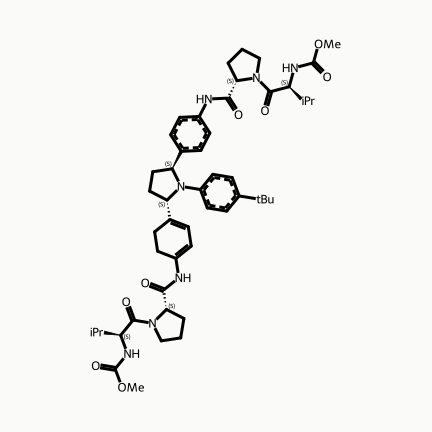 COC(=O)N[C@H](C(=O)N1CCC[C@H]1C(=O)NC1=CC=C([C@@H]2CC[C@@H](c3ccc(NC(=O)[C@@H]4CCCN4C(=O)[C@@H](NC(=O)OC)C(C)C)cc3)N2c2ccc(C(C)(C)C)cc2)CC1)C(C)C